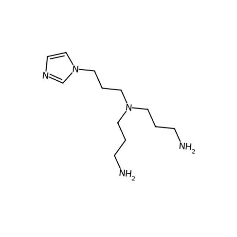 NCCCN(CCCN)CCCn1ccnc1